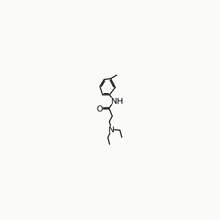 CCN(CC)CCC(=O)Nc1cccc(C)c1